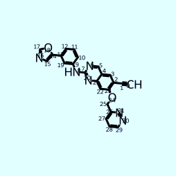 C#Cc1cc2cnc(Nc3cccc(-c4cnco4)c3)nc2cc1OCc1cccnn1